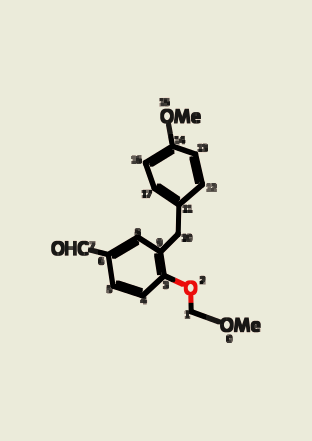 COCOc1ccc(C=O)cc1Cc1ccc(OC)cc1